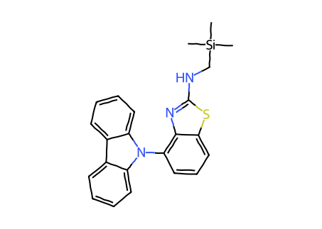 C[Si](C)(C)CNc1nc2c(-n3c4ccccc4c4ccccc43)cccc2s1